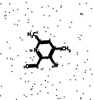 Cc1cc(C)c(Br)c(C=O)n1